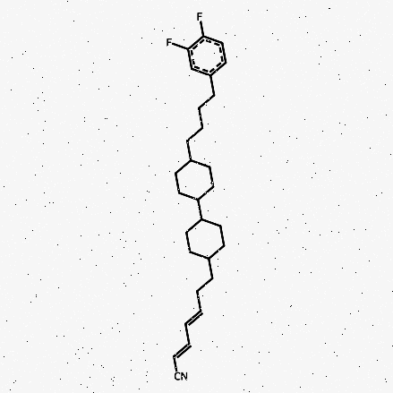 N#CC=CC=CCCC1CCC(C2CCC(CCCCc3ccc(F)c(F)c3)CC2)CC1